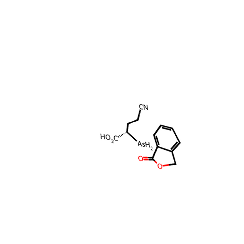 N#CCC[C@H]([AsH2])C(=O)O.O=C1OCc2ccccc21